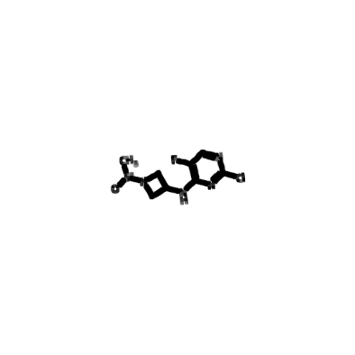 C[S+]([O-])N1CC(Nc2nc(Cl)ncc2F)C1